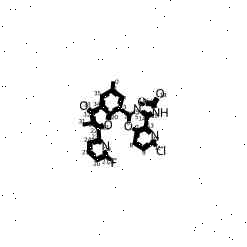 Cc1cc([C@@H](C)Oc2ccc(Cl)nc2-c2noc(=O)[nH]2)c2oc(-c3cccc(F)n3)c(C)c(=O)c2c1